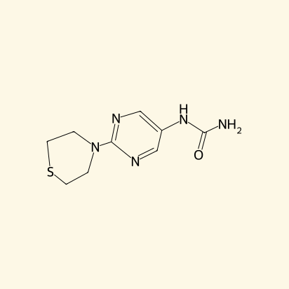 NC(=O)Nc1cnc(N2CCSCC2)nc1